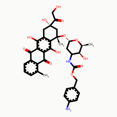 Cc1cccc2c1C(=O)c1c(O)c3c(c(O)c1C2=O)C[C@@](O)(C(=O)CO)C[C@]3(C)O[C@H]1CC(NC(=O)OCc2ccc(N)cc2)[C@H](O)[C@H](C)O1